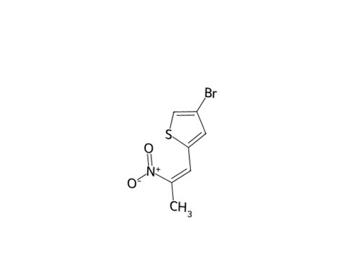 CC(=Cc1cc(Br)cs1)[N+](=O)[O-]